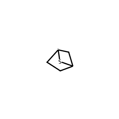 C1CC2C[C]1S2